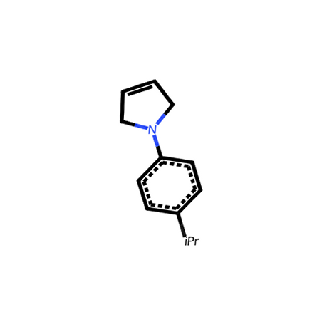 CC(C)c1ccc(N2CC=CC2)cc1